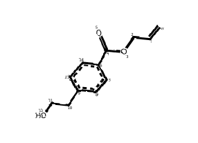 C=CCOC(=O)c1ccc(CCO)cc1